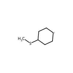 CSC1CC[C]CC1